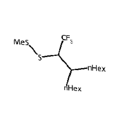 CCCCCCC(CCCCCC)C(SSC)C(F)(F)F